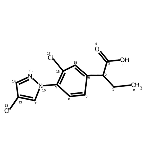 CCC(C(=O)O)c1ccc(-n2cc(Cl)cn2)c(Cl)c1